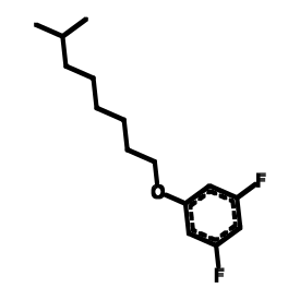 CC(C)CCCCCCOc1cc(F)cc(F)c1